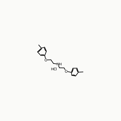 Cc1ccc(OCCNCCOc2ccc(C)cc2)cc1.Cl